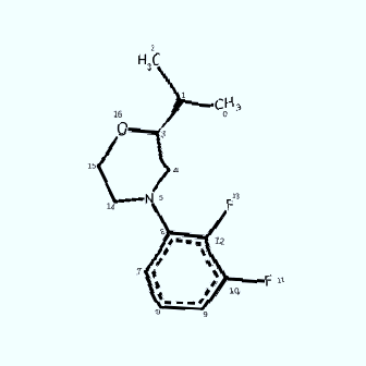 CC(C)[C@H]1CN(c2cccc(F)c2F)CCO1